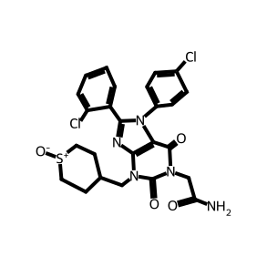 NC(=O)Cn1c(=O)c2c(nc(-c3ccccc3Cl)n2-c2ccc(Cl)cc2)n(CC2CC[S+]([O-])CC2)c1=O